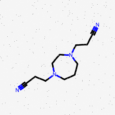 N#CCCN1CCCN(CCC#N)CC1